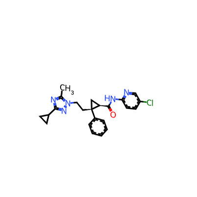 Cc1nc(C2CC2)nn1CC[C@@]1(c2ccccc2)C[C@H]1C(=O)Nc1ccc(Cl)cn1